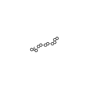 c1ccc2c(c1)ccc1c3cc(-c4ccc5cc(-c6ccc7ccc(-c8cccc9c8sc8ccccc89)cc7c6)ccc5c4)ccc3ccc21